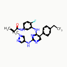 C=CC(=O)Nc1ccc(F)c(Nc2nc(Nc3cnn(C)c3)ncc2-c2ccc(CC(F)(F)F)cc2)c1